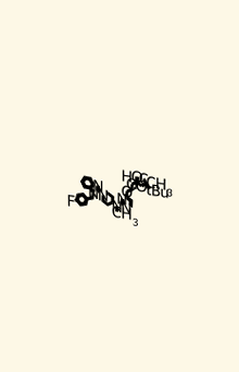 CN(c1nccc(OCOC(=O)OC(C)(C)C(C)(C)C)n1)C1CCN(c2nc3ccccc3n2Cc2ccc(F)cc2)CC1